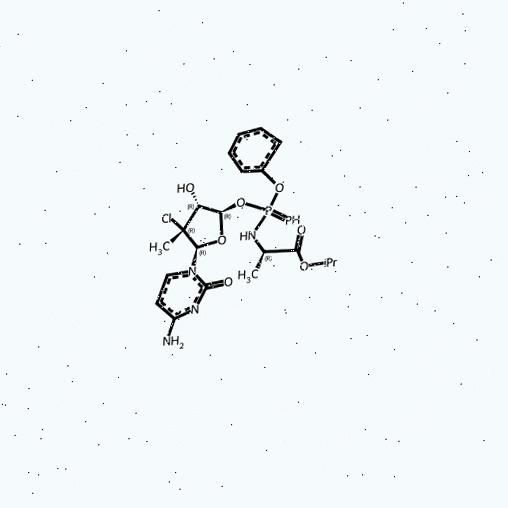 CC(C)OC(=O)[C@@H](C)NP(=P)(Oc1ccccc1)O[C@H]1O[C@@H](n2ccc(N)nc2=O)[C@](C)(Cl)[C@@H]1O